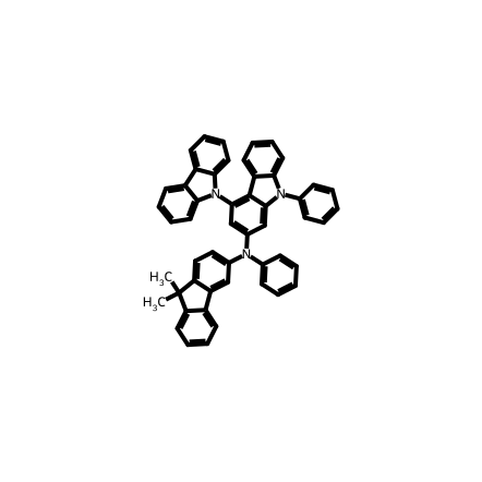 CC1(C)c2ccccc2-c2cc(N(c3ccccc3)c3cc(-n4c5ccccc5c5ccccc54)c4c5ccccc5n(-c5ccccc5)c4c3)ccc21